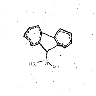 [CH3][SnH]([CH3])[CH]1c2ccccc2-c2ccccc21